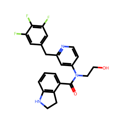 O=C(c1cccc2c1CCN2)N(CCO)c1ccnc(Cc2cc(F)c(F)c(F)c2)c1